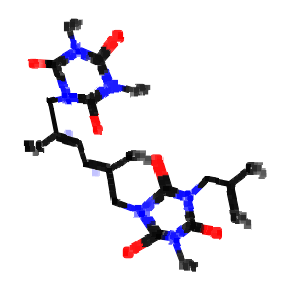 C=C(C)Cn1c(=O)n(CCC)c(=O)n(C/C(C)=C/C=C(\C)Cn2c(=O)n(CCC)c(=O)n(CCC)c2=O)c1=O